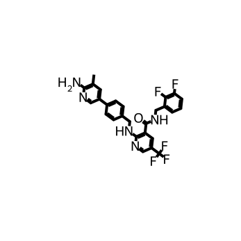 Cc1cc(-c2ccc(CNc3ncc(C(F)(F)F)cc3C(=O)NCc3cccc(F)c3F)cc2)cnc1N